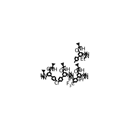 CC(C)c1nnnn1-c1cc(C(=O)NC(C)(C)C2CC2)cc(-c2ccc(C(F)(F)F)cc2)c1.CC(C)c1nnnn1-c1cc(C(=O)NC(C)(C)C2CC2)cc(-c2ccc(Cl)cc2)c1.CCc1nnnn1-c1cc(C(=O)NC(C)(C)C2CC2)cc(-c2ccc(C)cc2)c1.Cc1ccc(-c2cc(C(=O)NC(C)(C)C3CC3)cc(-n3nnnc3C3CC3)c2)cc1